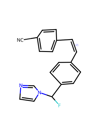 N#Cc1ccc(/C=C\c2ccc(C(F)n3ccnc3)cc2)cc1